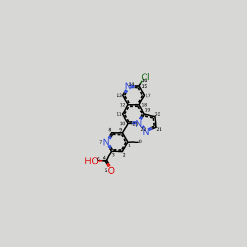 Cc1cc(C(=O)O)ncc1-c1cc2cnc(Cl)cc2c2ccnn12